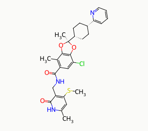 CSc1cc(C)[nH]c(=O)c1CNC(=O)c1cc(Cl)c2c(c1C)O[C@@](C)([C@H]1CC[C@@H](c3ccccn3)CC1)O2